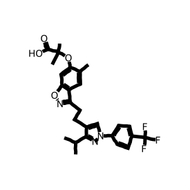 Cc1cc2c(CCc3cn(-c4ccc(C(F)(F)F)cc4)nc3C(C)C)noc2cc1OC(C)(C)C(=O)O